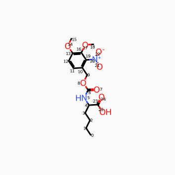 CCCCC(NC(=O)OCc1ccc(OC)c(OC)c1[N+](=O)[O-])C(=O)O